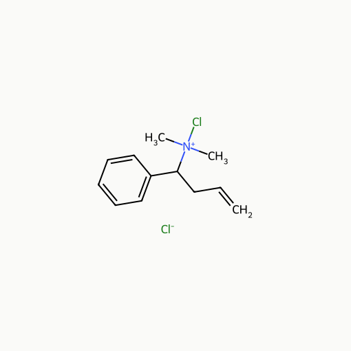 C=CCC(c1ccccc1)[N+](C)(C)Cl.[Cl-]